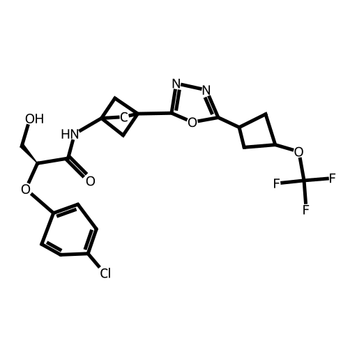 O=C(NC12CC(c3nnc(C4CC(OC(F)(F)F)C4)o3)(C1)C2)[C@H](CO)Oc1ccc(Cl)cc1